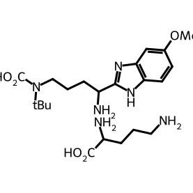 COc1ccc2[nH]c(C(N)CCCN(C(=O)O)C(C)(C)C)nc2c1.NCCCC(N)C(=O)O